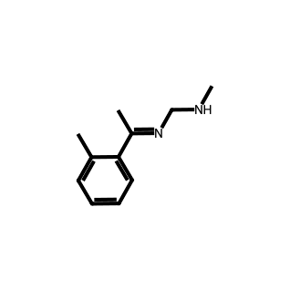 CNC/N=C(\C)c1ccccc1C